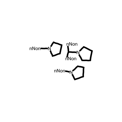 CCCCCCCCCC(CCCCCCCCC)N1CCCC1.CCCCCCCCCN1CCCC1.CCCCCCCCCN1CCCC1